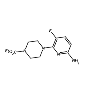 CCOC(=O)N1CCN(c2nc(N)ccc2F)CC1